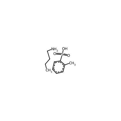 CCCCN.Cc1ccccc1S(=O)(=O)O